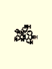 C1=CC(c2cncc3nc(-c4ccnc5[nH]c6ccccc6c45)nc(NC45CCNCC4C5)c23)=C1